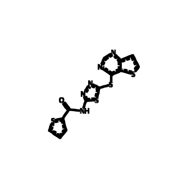 O=C(Nc1nnc(Sc2ncnc3ccsc23)s1)c1cccs1